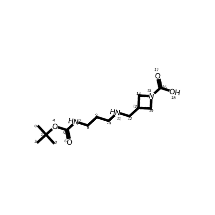 CC(C)(C)OC(=O)NCCCNCC1CN(C(=O)O)C1